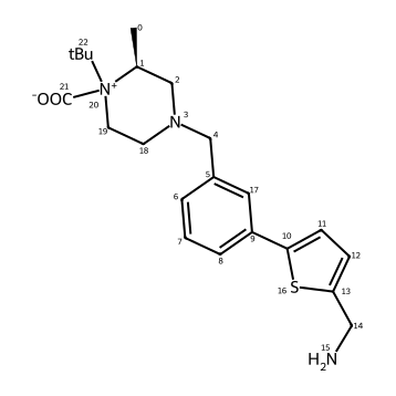 C[C@H]1CN(Cc2cccc(-c3ccc(CN)s3)c2)CC[N+]1(C(=O)[O-])C(C)(C)C